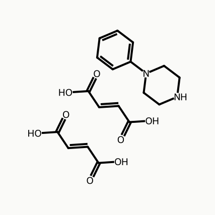 O=C(O)C=CC(=O)O.O=C(O)C=CC(=O)O.c1ccc(N2CCNCC2)cc1